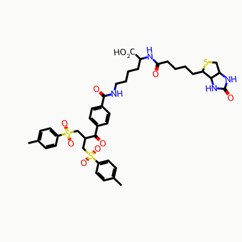 Cc1ccc(S(=O)(=O)CC(CS(=O)(=O)c2ccc(C)cc2)C(=O)c2ccc(C(=O)NCCCCC(NC(=O)CCCCC3SCC4NC(=O)NC43)C(=O)O)cc2)cc1